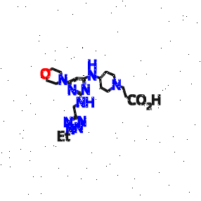 CCn1nnc(CNc2nc(NC3CCN(CCC(=O)O)CC3)cc(N3CCOCC3)n2)n1